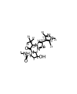 CNC(=O)[C@H]1CC(O)CN1C(=O)C(n1cc(-c2c(C)nn(C)c2C)nn1)C(C)(C)C